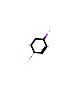 IC1C=C[C@H](I)CC1